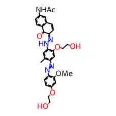 COc1cc(OCCO)ccc1/N=N/c1cc(OCCO)c(N/N=C2/C=Cc3cc(NC(C)=O)ccc3C2=O)cc1C